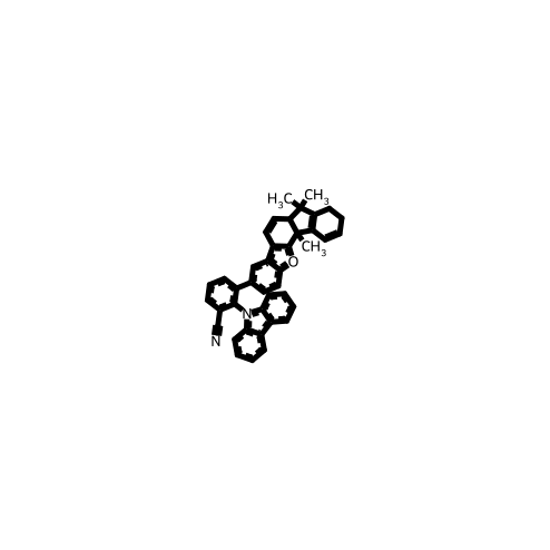 CC1(C)C2=C(C=CCC2)C2(C)c3oc4ccc(-c5cccc(C#N)c5-n5c6ccccc6c6ccccc65)cc4c3C=CC12